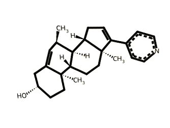 C[C@@H]1C=C2C[C@@H](O)CC[C@]2(C)[C@H]2CC[C@]3(C)C(c4ccncc4)=CC[C@H]3[C@H]12